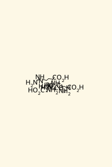 CC[C@H](C)[C@H](N)C(=O)O.N=C(N)NCCC[C@H](N)C(=O)O.NCC(=O)O.N[C@@H](CCC(=O)O)C(=O)O